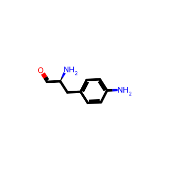 Nc1ccc(C[C@H](N)C=O)cc1